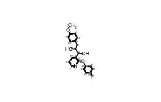 COc1ccc(CC(O)C(O)c2cccnc2Oc2ccc(F)cc2)cc1